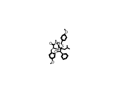 CNC(=O)[C@H](Cc1ccc(OC)cc1)NC(=O)C(CC(C)C)(SCc1ccc(OC)cc1)C(Cl)c1ccccc1